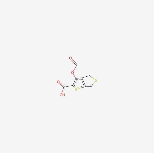 O=COc1c(C(=O)O)sc2c1CSC2